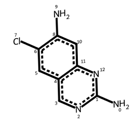 Nc1ncc2cc(Cl)c(N)cc2n1